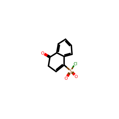 O=C1CC=C(S(=O)(=O)Cl)c2ccccc21